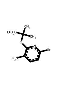 CCOC(=O)C(C)(C)Oc1nc(Br)ccc1[N+](=O)[O-]